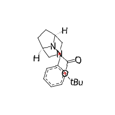 CC(C)(C)OC(=O)N1C[C@H]2CC[C@@H](C1)N2Cc1ccccc1